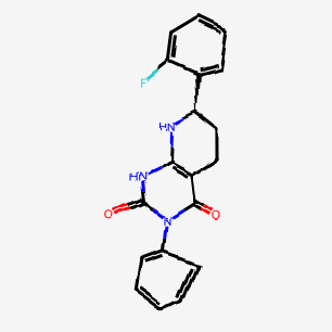 O=c1[nH]c2c(c(=O)n1-c1ccccc1)CC[C@H](c1ccccc1F)N2